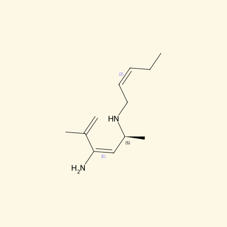 C=C(C)/C(N)=C\[C@H](C)NC/C=C\CC